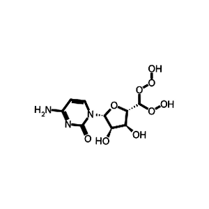 Nc1ccn([C@@H]2O[C@H](C(OO)OOO)[C@@H](O)[C@H]2O)c(=O)n1